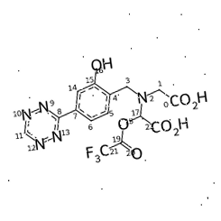 O=C(O)CN(Cc1ccc(-c2nncnn2)cc1O)C(OC(=O)C(F)(F)F)C(=O)O